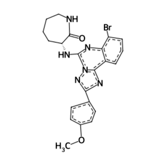 COc1ccc(-c2nc3c4cccc(Br)c4nc(N[C@@H]4CCCCNC4=O)n3n2)cc1